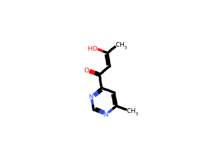 C/C(O)=C/C(=O)c1cc(C)ncn1